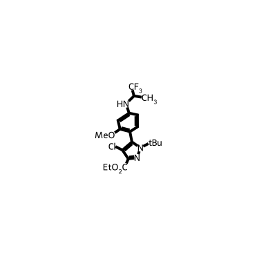 CCOC(=O)c1nn(C(C)(C)C)c(-c2ccc(NC(C)C(F)(F)F)cc2OC)c1Cl